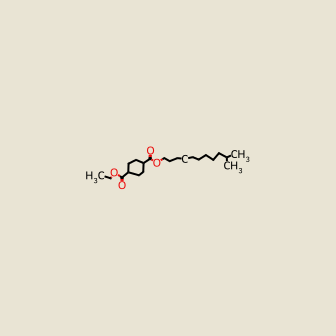 CCOC(=O)C1CCC(C(=O)OCCCCCCCCCC(C)C)CC1